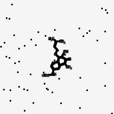 CCCCCCCCNc1ccc2c(OCC=C(C)C)c(O)c(=O)n(C)c2c1